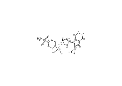 NS(=O)(=O)N1CCC2(CC1)[C@H](c1noc(-c3c4c(nn3C3CC3)CCCC4)n1)C2(F)F